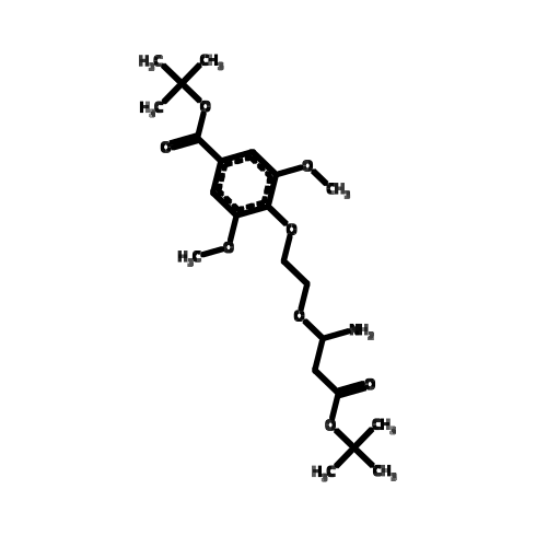 COc1cc(C(=O)OC(C)(C)C)cc(OC)c1OCCOC(N)CC(=O)OC(C)(C)C